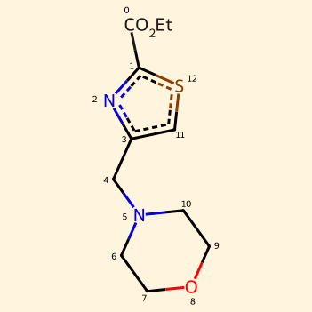 CCOC(=O)c1nc(CN2CCOCC2)cs1